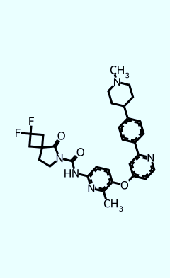 Cc1nc(NC(=O)N2CCC3(CC(F)(F)C3)C2=O)ccc1Oc1ccnc(-c2ccc(C3CCN(C)CC3)cc2)c1